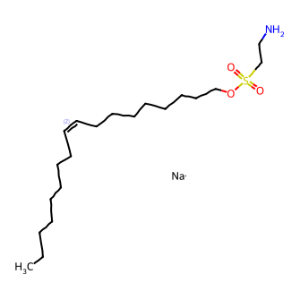 CCCCCCCC/C=C\CCCCCCCCOS(=O)(=O)CCN.[Na]